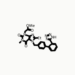 CCc1nc2c(c(=O)n(C)c(=O)n2CC(=O)OC)n1Cc1ccc(-c2ccccc2-c2nnn[nH]2)cc1